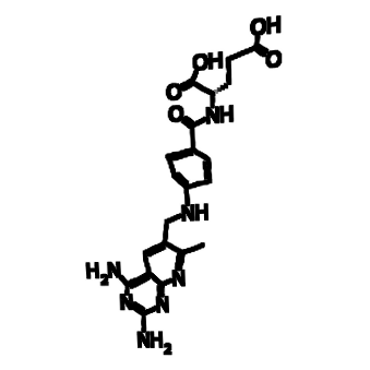 Cc1nc2nc(N)nc(N)c2cc1CNc1ccc(C(=O)N[C@@H](CCC(=O)O)C(=O)O)cc1